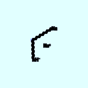 [NH-]CCCCCCCC/C=C\CCCCCCCCC[CH2][Na].[Na+]